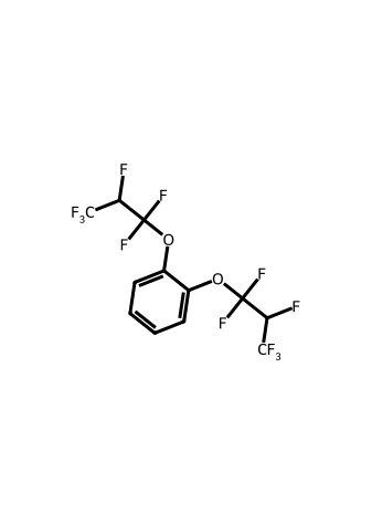 FC(C(F)(F)F)C(F)(F)Oc1ccccc1OC(F)(F)C(F)C(F)(F)F